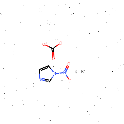 O=C([O-])[O-].O=[N+]([O-])n1ccnc1.[K+].[K+]